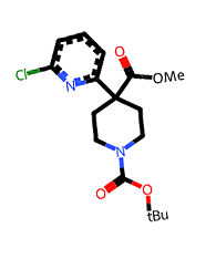 COC(=O)C1(c2cccc(Cl)n2)CCN(C(=O)OC(C)(C)C)CC1